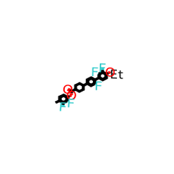 CCOc1ccc(-c2ccc(C3CCC(C(=O)Oc4ccc(C)c(F)c4F)CC3)cc2F)c(F)c1F